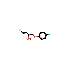 OC(C=CBr)COc1ccc(F)cc1